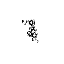 FC(F)(F)c1ccnc(-n2cc(CN3CCC(C(F)(F)F)CC3)c(C3CCCO3)n2)c1